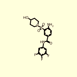 Nc1ccc(C(=O)Nc2cc(F)c(F)c(F)c2)cc1S(=O)(=O)N1CCC(O)CC1